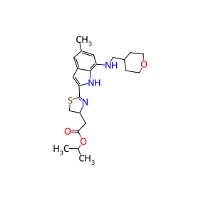 Cc1cc(NCC2CCOCC2)c2[nH]c(C3=NC(CC(=O)OC(C)C)CS3)cc2c1